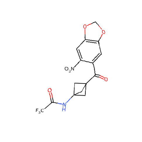 O=C(NC12CC(C(=O)c3cc4c(cc3[N+](=O)[O-])OCO4)(C1)C2)C(F)(F)F